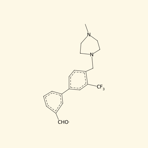 CN1CCN(Cc2ccc(-c3cccc([C]=O)c3)cc2C(F)(F)F)CC1